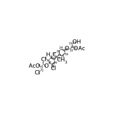 CC(=O)OC(CCl)COc1c(Cl)cc(C(C)(C)c2ccc(OC[C@H](CO)OC(C)=O)cc2)cc1Cl